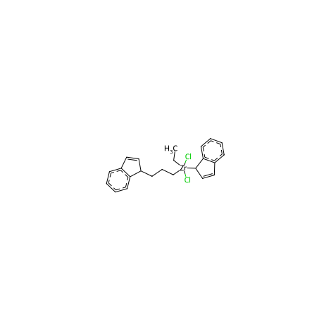 C[CH2][Zr]([Cl])([Cl])([CH2]CCC1C=Cc2ccccc21)[CH]1C=Cc2ccccc21